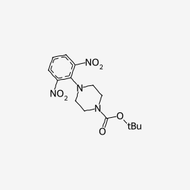 CC(C)(C)OC(=O)N1CCN(c2c([N+](=O)[O-])cccc2[N+](=O)[O-])CC1